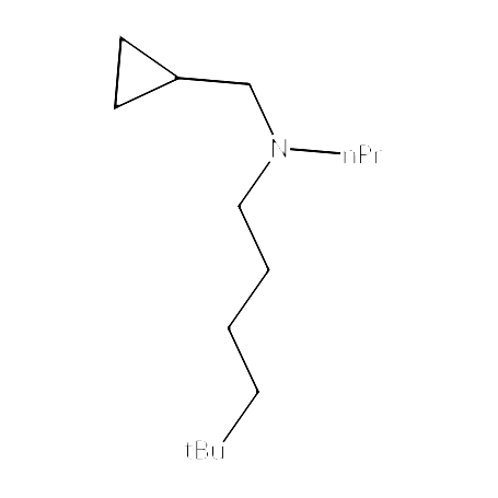 CCCN(CCCCC(C)(C)C)CC1CC1